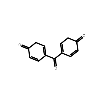 O=C1C=CC(C(=O)C2=CCC(=O)C=C2)=CC1